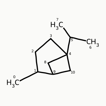 CC1CCC2(C(C)C)CC1C2